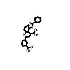 O=C(O)c1cccc(-c2cc(C(=O)O)c3c(ccc4nc(-c5ccccc5)oc43)n2)c1